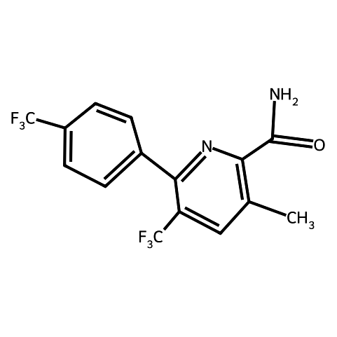 Cc1cc(C(F)(F)F)c(-c2ccc(C(F)(F)F)cc2)nc1C(N)=O